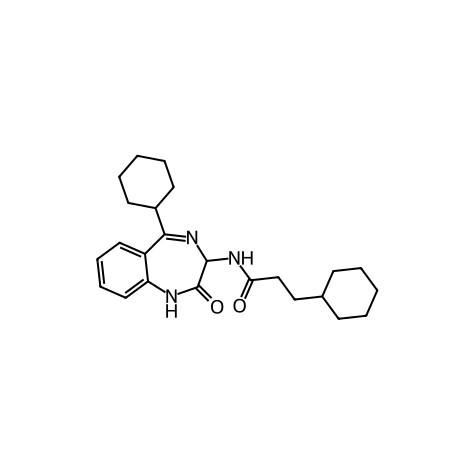 O=C(CCC1CCCCC1)NC1N=C(C2CCCCC2)c2ccccc2NC1=O